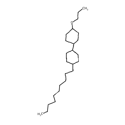 CCCCCCCCCCC1CCC(C2CCC(OCCC)CC2)CC1